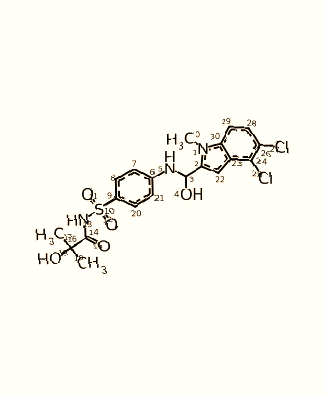 Cn1c(C(O)Nc2ccc(S(=O)(=O)NC(=O)C(C)(C)O)cc2)cc2c(Cl)c(Cl)ccc21